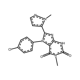 Cn1nccc1-c1nc2[nH]c(=O)n(C)c(=O)c2n1-c1ccc(Cl)cc1